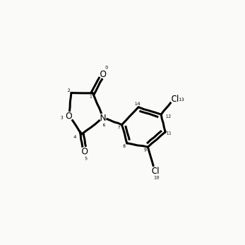 O=C1COC(=O)N1c1cc(Cl)cc(Cl)c1